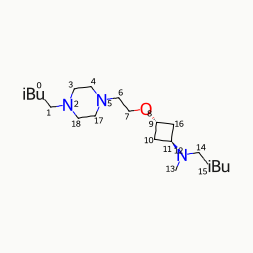 CCC(C)CN1CCN(CCO[C@H]2C[C@H](N(C)CC(C)CC)C2)CC1